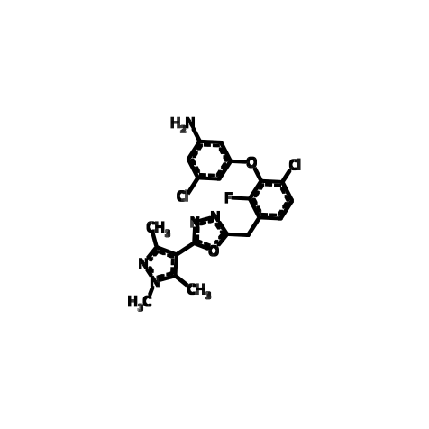 Cc1nn(C)c(C)c1-c1nnc(Cc2ccc(Cl)c(Oc3cc(N)cc(Cl)c3)c2F)o1